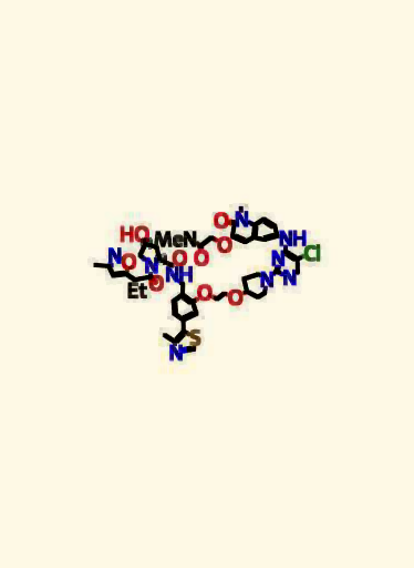 CCC(C(=O)N1C[C@H](O)C[C@H]1C(=O)NCc1ccc(-c2scnc2C)cc1OCCOC1CCN(c2ncc(Cl)c(Nc3ccc4c(c3)cc(OCC(=O)NC)c(=O)n4C)n2)CC1)c1cc(C)no1